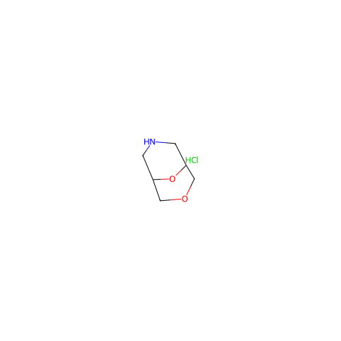 C1NCC2COCC1O2.Cl